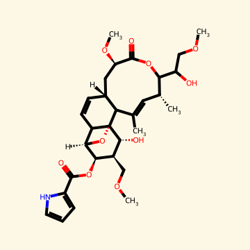 COCC(O)C1OC(=O)[C@H](OC)C[C@H]2C=CC3C4[C@H](O)[C@@H](COC)[C@@H](OC(=O)c5ccc[nH]5)[C@@H]3O[C@]42/C(C)=C/[C@H]1C